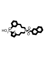 O=C(O)c1ccc(CCCN(CCCc2cccc(Cl)c2)S(=O)(=O)c2ccc3ccccc3c2)s1